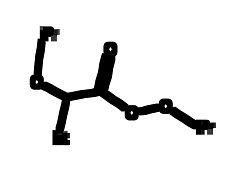 CCC(OC(C)C)C(=O)OOC(C)C